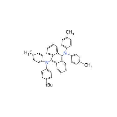 Cc1ccc(N(c2ccc(C)cc2)c2c3ccccc3c(N(c3ccc(C)cc3)c3ccc(C(C)(C)C)cc3)c3ccccc23)cc1